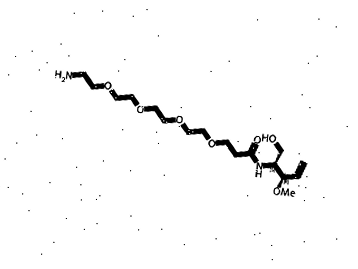 C=C[C@@H](OC)[C@H](CO)NC(=O)CCOCCOCCOCCOCCN